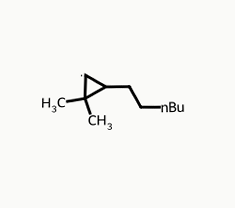 CCCCCCC1[CH]C1(C)C